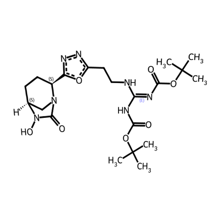 CC(C)(C)OC(=O)/N=C(\NCCc1nnc([C@@H]2CC[C@H]3CN2C(=O)N3O)o1)NC(=O)OC(C)(C)C